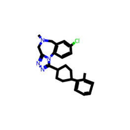 Cc1ccccc1C1CCC(c2nnc3n2-c2ccc(Cl)cc2CN(C)C3)CC1